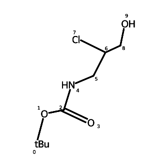 CC(C)(C)OC(=O)NCC(Cl)CO